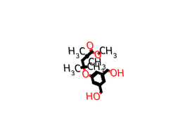 COC(=O)C(C)(C)CC(C)(C)Oc1cc(CO)cc(CO)c1